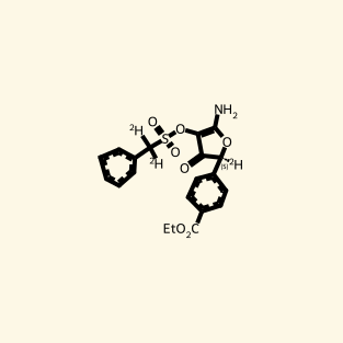 [2H]C([2H])(c1ccccc1)S(=O)(=O)OC1=C(N)O[C@@]([2H])(c2ccc(C(=O)OCC)cc2)C1=O